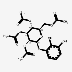 CC(=O)OC[C@H]1O[C@@H](Oc2cccc(O)c2O)[C@H](OC(C)=O)[C@@H](OC(C)=O)[C@@H]1OC(C)=O